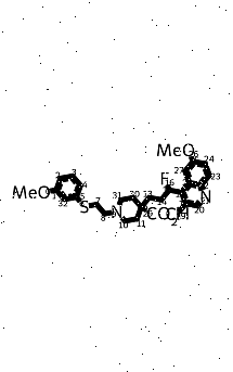 COc1cccc(SCCN2CCC(CCC(F)c3c(Cl)cnc4ccc(OC)cc34)(C(=O)O)CC2)c1